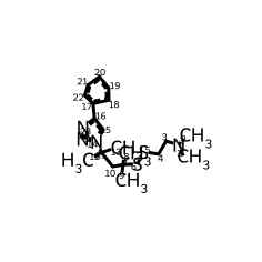 CN(C)CCSSC(C)(C)CC(C)(C)n1cc(-c2ccccc2)nn1